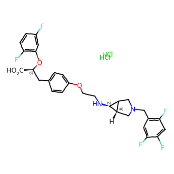 Cl.Cl.O=C(O)[C@H](Cc1ccc(OCCN[C@H]2C3CN(Cc4cc(F)c(F)cc4F)C[C@@H]32)cc1)Oc1cc(F)ccc1F